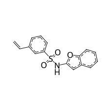 C=Cc1cccc(S(=O)(=O)Nc2cc3ccccc3o2)c1